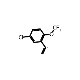 C=[C]c1cc(Cl)ccc1OC(F)(F)F